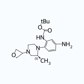 C[C@H]1CN(C2COC2)CCN1c1ccc(N)cc1NC(=O)OC(C)(C)C